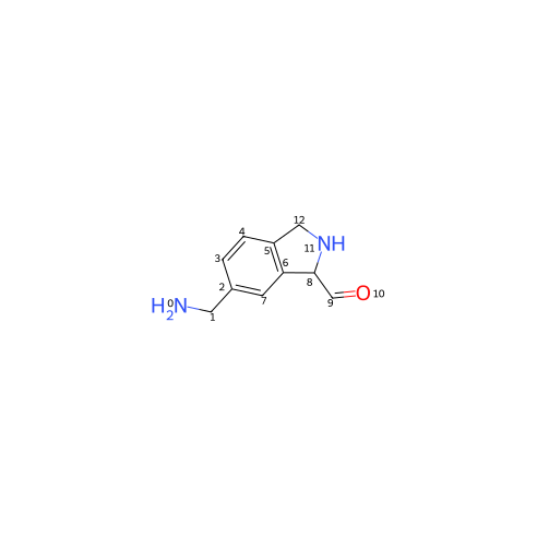 NCc1ccc2c(c1)C(C=O)NC2